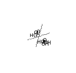 CCCCCCCCc1c(O)c(I(=O)=O)c(CCCCCCCC)c(CCCCCCCC)c1CCCCCCCC.O=P(O)(O)O